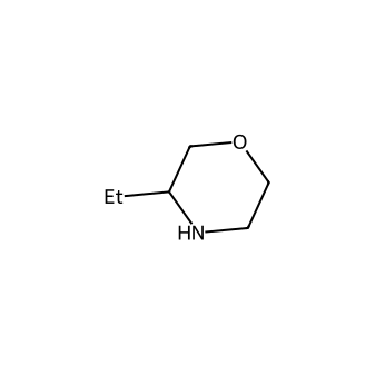 [CH2]CC1COCCN1